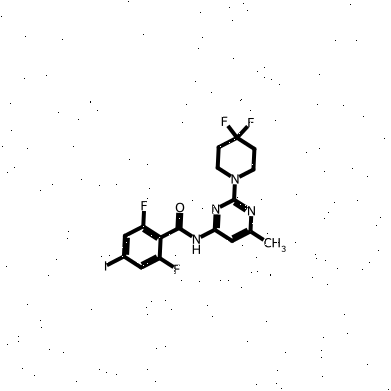 Cc1cc(NC(=O)c2c(F)cc(I)cc2F)nc(N2CCC(F)(F)CC2)n1